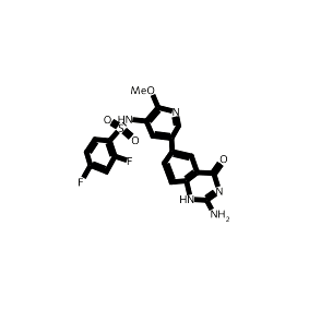 COc1ncc(-c2ccc3[nH]c(N)nc(=O)c3c2)cc1NS(=O)(=O)c1ccc(F)cc1F